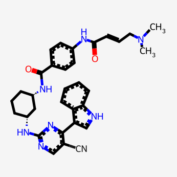 CN(C)C/C=C/C(=O)Nc1ccc(C(=O)N[C@H]2CCC[C@@H](Nc3ncc(C#N)c(-c4c[nH]c5ccccc45)n3)C2)cc1